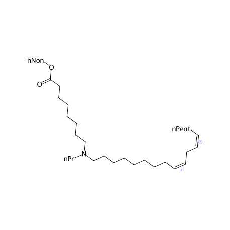 CCCCC/C=C\C/C=C\CCCCCCCCN(CCC)CCCCCCCC(=O)OCCCCCCCCC